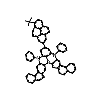 CC(C)(C)c1ccc2ccc3cc(-c4cc5c6c(c4)N(c4ccccc4)c4cc7c(ccc8ccccc87)cc4B6c4cc6ccc7ccccc7c6cc4N5c4ccccc4)cc4ccc1c2c34